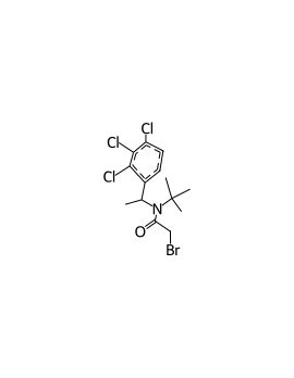 CC(c1ccc(Cl)c(Cl)c1Cl)N(C(=O)CBr)C(C)(C)C